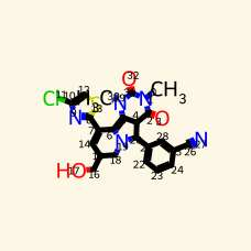 CN1C(=O)C2C(=C3C(c4nc(Cl)cs4)=CC(CO)CN3C2c2cccc(C#N)c2)N(C)C1=O